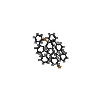 Brc1ccc2c(c1)C1(C3=C2C2(c4cc(Br)ccc43)c3ccccc3-c3ccc(-c4ccccc4)cc32)c2ccccc2-c2ccc(-c3ccccc3)cc21